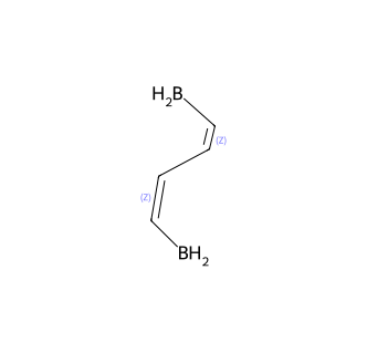 B/C=C\C=C/B